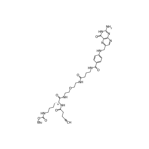 C#CCCC(=O)N[C@H](CCCCNC(=O)OC(C)(C)C)C(=O)NCCOCCNC(=O)CCCNC(=O)c1ccc(NCc2cnc3nc(N)[nH]c(=O)c3n2)cc1